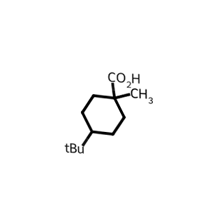 CC1(C(=O)O)CCC(C(C)(C)C)CC1